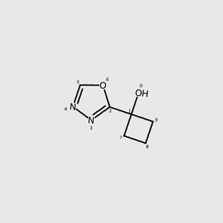 OC1(c2nnco2)CCC1